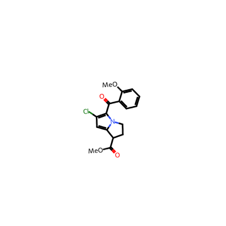 COC(=O)C1CCn2c1cc(Cl)c2C(=O)c1ccccc1OC